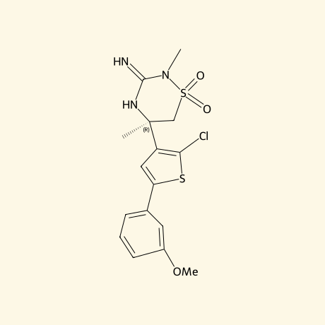 COc1cccc(-c2cc([C@]3(C)CS(=O)(=O)N(C)C(=N)N3)c(Cl)s2)c1